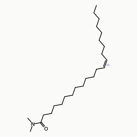 CCCCCCCC/C=C\CCCCCCCCCCCC(=O)N(C)C